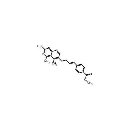 COC(=O)c1ccc(C=CCCc2cnc3nc(N)nc(N)c3c2C)cc1